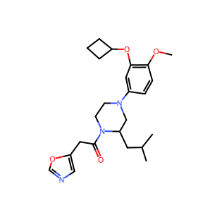 COc1ccc(N2CCN(C(=O)Cc3cnco3)C(CC(C)C)C2)cc1OC1CCC1